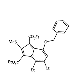 CCOC(=O)c1c(SC)c(C(=O)OCC)n2c(CC)c(CC)cc(OCc3ccccc3)c12